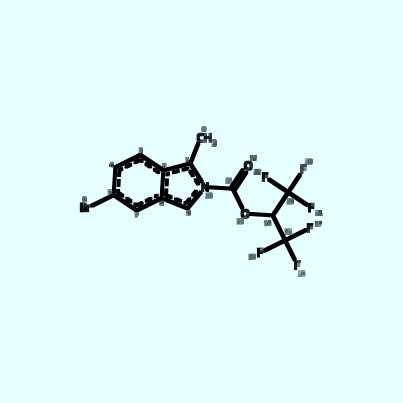 Cc1c2ccc(Br)cc2cn1C(=O)OC(C(F)(F)F)C(F)(F)F